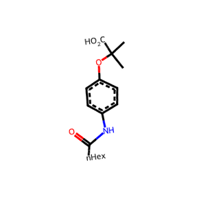 CCCCCCC(=O)Nc1ccc(OC(C)(C)C(=O)O)cc1